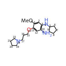 COc1cc(NC2CCCC2)c(N)cc1OCCCN1CCCC1